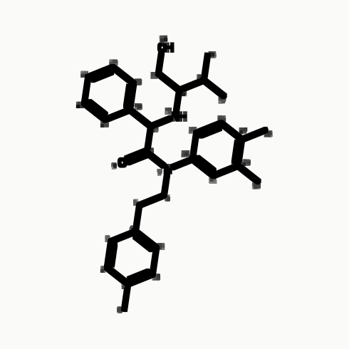 Cc1ccc(CCN(C(=O)C(NC(CO)C(C)C)c2ccccc2)c2ccc(C)c(C)c2)cc1